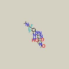 COc1nc2ncnc(N[C@H](C)c3cccc(C(F)(F)C4CN(C(C)C)C4)c3F)c2cc1C1(O)CCN(C(C)=O)CC1